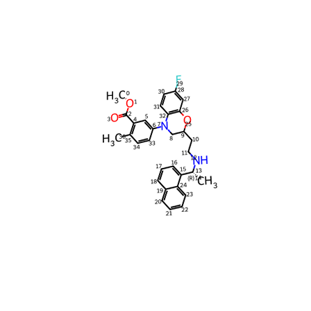 COC(=O)c1cc(N2CC(CCN[C@H](C)c3cccc4ccccc34)Oc3cc(F)ccc32)ccc1C